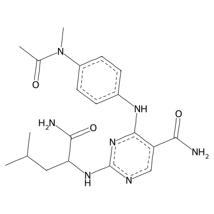 CC(=O)N(C)c1ccc(Nc2nc(NC(CC(C)C)C(N)=O)ncc2C(N)=O)cc1